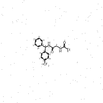 CCC(=O)NCC(=O)NC(c1ccccc1)c1ccc(C(F)(F)F)cc1